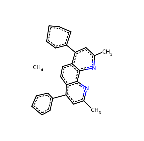 C.Cc1cc(-c2ccccc2)c2ccc3c(-c4ccccc4)cc(C)nc3c2n1